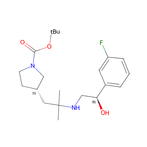 CC(C)(C[C@@H]1CCN(C(=O)OC(C)(C)C)C1)NC[C@H](O)c1cccc(F)c1